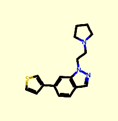 c1cc(-c2ccc3cnn(CCN4CCCC4)c3c2)cs1